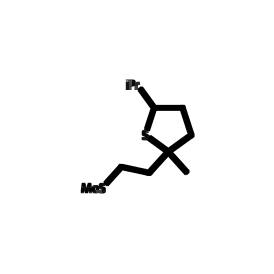 CSCCC1(C)CCC(C(C)C)S1